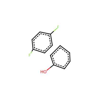 Fc1ccc(F)cc1.Oc1ccccc1